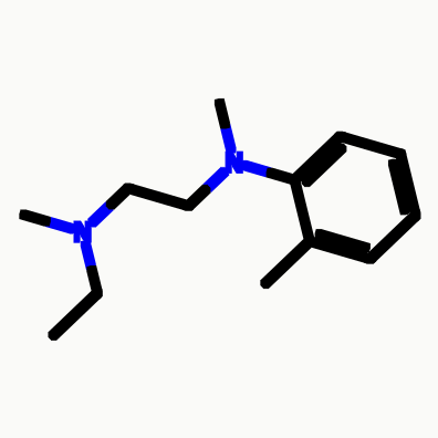 CCN(C)CCN(C)c1ccccc1C